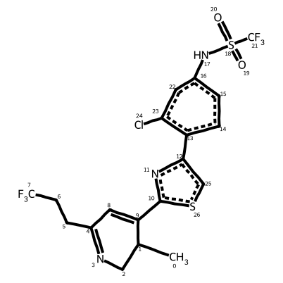 CC1CN=C(CCC(F)(F)F)C=C1c1nc(-c2ccc(NS(=O)(=O)C(F)(F)F)cc2Cl)cs1